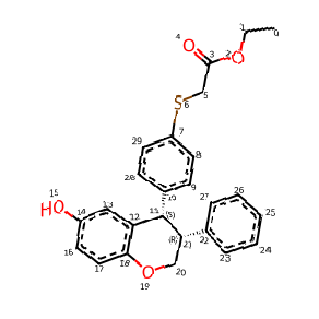 CCOC(=O)CSc1ccc([C@H]2c3cc(O)ccc3OC[C@H]2c2ccccc2)cc1